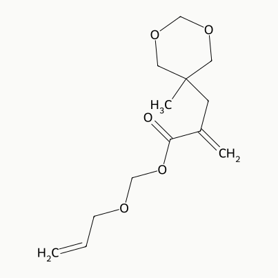 C=CCOCOC(=O)C(=C)CC1(C)COCOC1